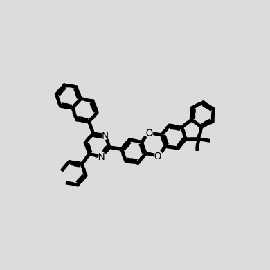 C/C=C\C(=C/C)c1cc(-c2ccc3ccccc3c2)nc(-c2ccc3c(c2)Oc2cc4c(cc2O3)C(C)(C)c2ccccc2-4)n1